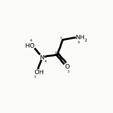 NCC(=O)N(O)O